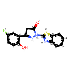 O=C1CC(c2cc(F)ccc2O)=NN1c1nc2ccccc2s1